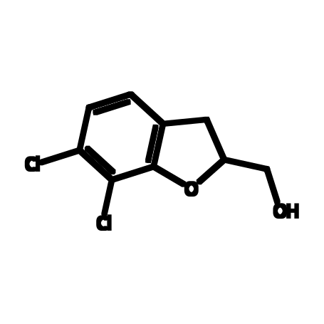 OCC1Cc2ccc(Cl)c(Cl)c2O1